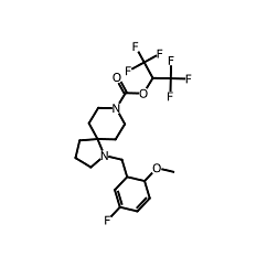 COC1C=CC(F)=CC1CN1CCCC12CCN(C(=O)OC(C(F)(F)F)C(F)(F)F)CC2